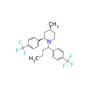 CCCC(c1ccc(C(F)(F)F)cc1)N1CC[C@H](C)C[C@@H]1c1ccc(C(F)(F)F)cc1